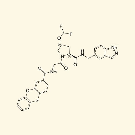 O=C(NCC(=O)N1C[C@H](OC(F)F)C[C@H]1C(=O)NCc1ccc2[nH]ncc2c1)c1ccc2c(c1)Oc1ccccc1S2